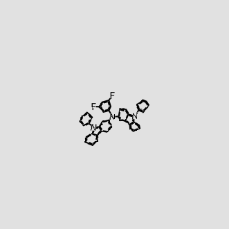 Fc1cc(F)cc(N(c2ccc3c(c2)c2ccccc2n3-c2ccccc2)c2ccc3c4ccccc4n(-c4ccccc4)c3c2)c1